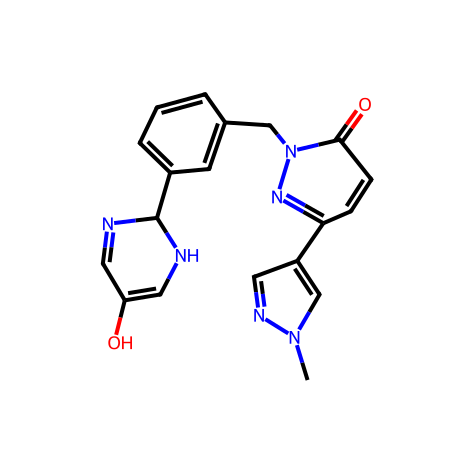 Cn1cc(-c2ccc(=O)n(Cc3cccc(C4N=CC(O)=CN4)c3)n2)cn1